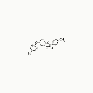 CCc1cnc(OC2CCC(OS(=O)(=O)c3ccc(C)cc3)CC2)nc1